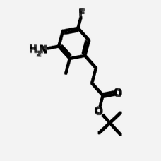 Cc1c(N)cc(F)cc1CCC(=O)OC(C)(C)C